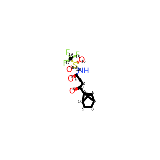 O=C(CC(=O)C1=CC2CCC1C2)NS(=O)(=O)C(F)(F)F